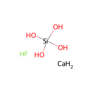 F.O[Si](O)(O)O.[CaH2]